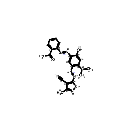 CC(=O)c1ccccc1/N=N/c1cc(/N=N/c2snc(C)c2C#N)c(N(C)C)cc1O